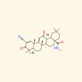 CNC(=O)[C@]12CCC(C)(C)C[C@@H]1C1C(=O)C=C3[C@@]4(C)C=C(C#N)C(=O)C(C)(C)[C@@H]4CC[C@@]3(C)[C@]1(C)CC2